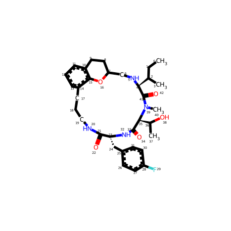 CCC(C)[C@@H]1NCC2CCc3cccc(c3O2)CCCNC(=O)[C@@H](Cc2ccc(F)cc2)NC(=O)[C@H](C(C)O)N(C)C1=O